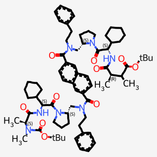 CC(C(=O)OC(C)(C)C)[C@@H](C)C(=O)N[C@H](C(=O)N1CCC[C@H]1CN(CCc1ccccc1)C(=O)c1ccc2cc(C(=O)N(CCc3ccccc3)C[C@@H]3CCCN3C(=O)[C@@H](NC(=O)[C@H](C)N(C)C(=O)OC(C)(C)C)C3CCCCC3)ccc2c1)C1CCCCC1